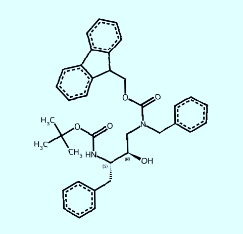 CC(C)(C)OC(=O)N[C@@H](Cc1ccccc1)[C@H](O)CN(Cc1ccccc1)C(=O)OCC1c2ccccc2-c2ccccc21